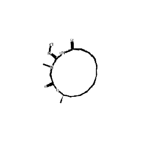 C[C@@H]1CCCCCCCCCC(=O)N/C(=N\Cl)N(C)CC(=O)O1